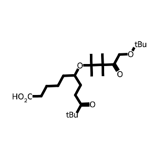 CC(C)(C)OCC(=O)C(C)(C)C(C)(C)OC(CCCCC(=O)O)CCC(=O)C(C)(C)C